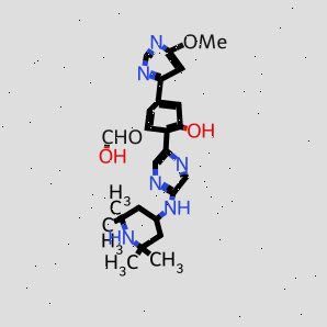 COc1cc(-c2ccc(-c3cnc(NC4CC(C)(C)NC(C)(C)C4)cn3)c(O)c2)ncn1.O=CO